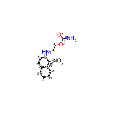 NC(=O)OCCNc1ccc2ccccc2c1[N+](=O)[O-]